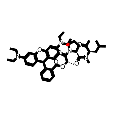 CCN(CC)c1ccc2c(c1)Oc1cc(N(CC)CC)ccc1C2c1ccccc1C(=O)O[C@@H](C)C(=O)N1CCC[C@H]1C(=O)N(C)[C@H](CC(C)C)C(C)=O